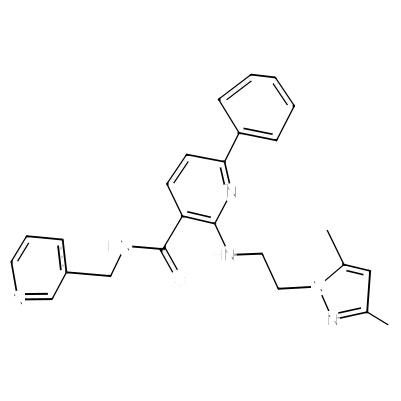 Cc1cc(C)n(CCNc2nc(-c3ccccc3)ccc2C(=O)NCc2cccnc2)n1